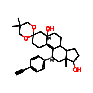 C#Cc1ccc([C@H]2CC3(C)C(O)CCC3C3CC[C@@]4(O)CC5(CCC4=C32)OCC(C)(C)CO5)cc1